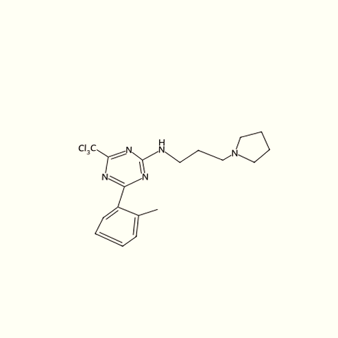 Cc1ccccc1-c1nc(NCCCN2CCCC2)nc(C(Cl)(Cl)Cl)n1